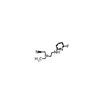 CCN(CC#N)CCNc1cccc(F)n1